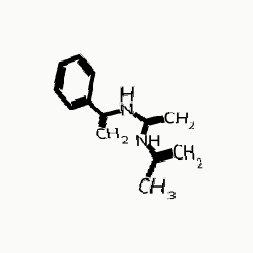 C=C(C)NC(=C)NC(=C)c1ccccc1